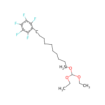 CCOC(OCC)O[SiH2]CCCCCCCCCc1c(F)c(F)c(F)c(F)c1F